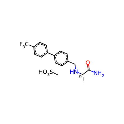 CS(=O)(=O)O.C[C@H](NCc1ccc(-c2ccc(C(F)(F)F)cc2)cc1)C(N)=O